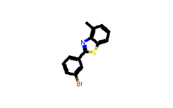 Cc1cccc2sc(-c3cccc(Br)c3)nc12